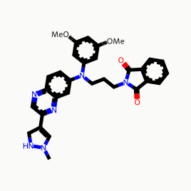 COc1cc(OC)cc(N(CCCN2C(=O)c3ccccc3C2=O)c2ccc3ncc(C4=CN(C)NC4)nc3c2)c1